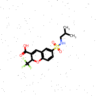 CC(C)CNS(=O)(=O)c1ccc2c(c1)C=C(C(=O)O)C(C(F)(F)F)O2